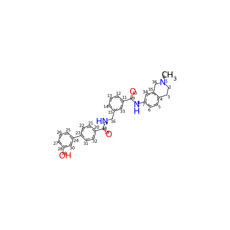 CN1CCc2ccc(NC(=O)c3cccc(CNC(=O)c4ccc(-c5cccc(O)c5)cc4)c3)cc2C1